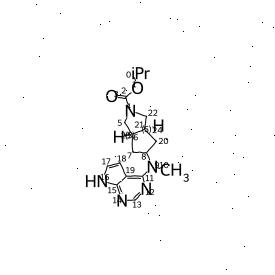 CC(C)OC(=O)N1C[C@H]2CC(N(C)c3ncnc4[nH]ccc34)C[C@@H]2C1